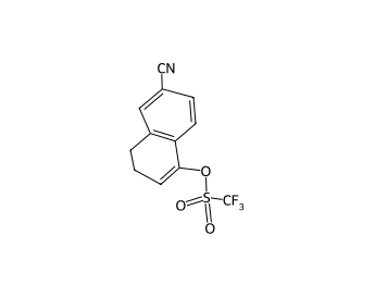 N#Cc1ccc2c(c1)CCC=C2OS(=O)(=O)C(F)(F)F